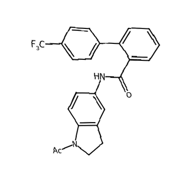 CC(=O)N1CCc2cc(NC(=O)c3ccccc3-c3ccc(C(F)(F)F)cc3)ccc21